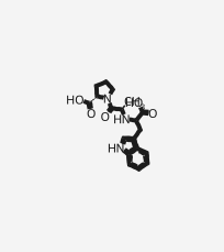 C[C@H](NC(Cc1c[nH]c2ccccc12)C(=O)O)C(=O)N1CCC[C@H]1C(=O)O